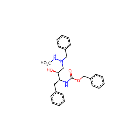 O=C(O)NN(Cc1ccccc1)C[C@H](O)[C@H](Cc1ccccc1)NC(=O)OCc1ccccc1